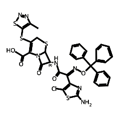 Cc1nnsc1SC1=C(C(=O)O)N2C(=O)[C@@H](NC(=O)C(=NOC(c3ccccc3)(c3ccccc3)c3ccccc3)c3nc(N)sc3Cl)C2SC1